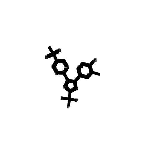 Cc1cc(-c2nc(C(F)(F)F)nn2-c2ncc(S(C)(=O)=O)cn2)ccc1Cl